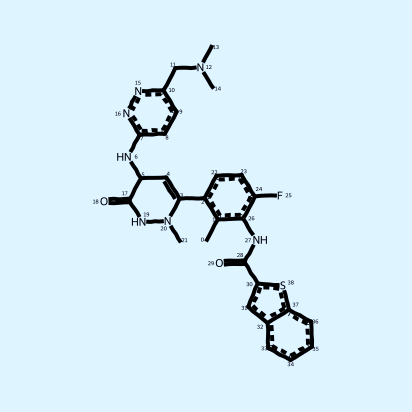 Cc1c(C2=CC(Nc3ccc(CN(C)C)nn3)C(=O)NN2C)ccc(F)c1NC(=O)c1cc2ccccc2s1